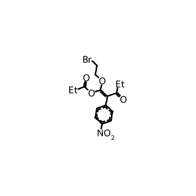 CCC(=O)O/C(OCCBr)=C(/C(=O)CC)c1ccc([N+](=O)[O-])cc1